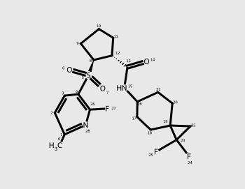 Cc1ccc(S(=O)(=O)[C@H]2CCC[C@@H]2C(=O)NC2CCC3(CC2)CC3(F)F)c(F)n1